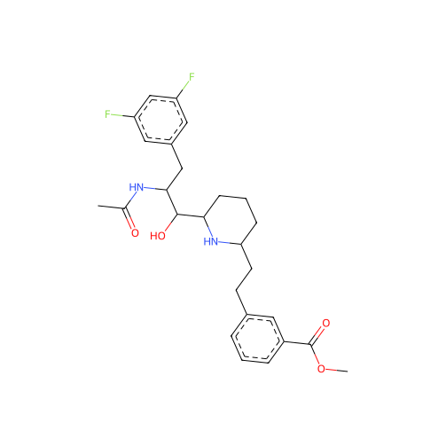 COC(=O)c1cccc(CCC2CCCC(C(O)C(Cc3cc(F)cc(F)c3)NC(C)=O)N2)c1